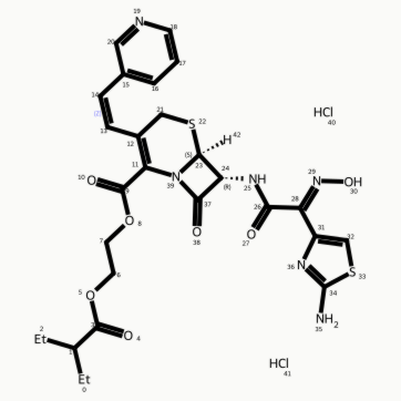 CCC(CC)C(=O)OCCOC(=O)C1=C(/C=C\c2cccnc2)CS[C@H]2[C@H](NC(=O)C(=NO)c3csc(N)n3)C(=O)N12.Cl.Cl